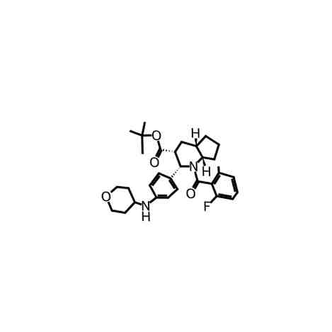 Cc1cccc(F)c1C(=O)N1[C@H](c2ccc(NC3CCOCC3)cc2)[C@H](C(=O)OC(C)(C)C)C[C@@H]2CCC[C@@H]21